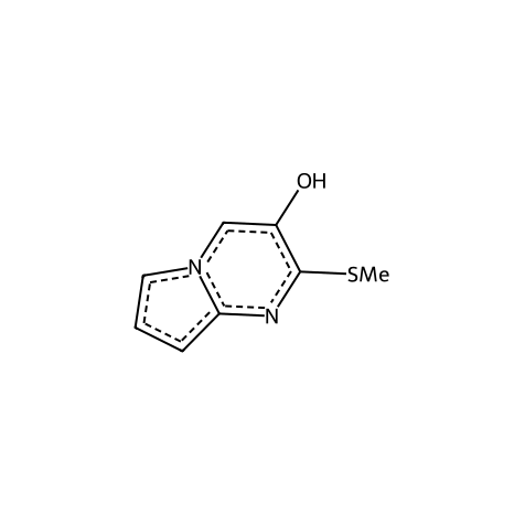 CSc1nc2cccn2cc1O